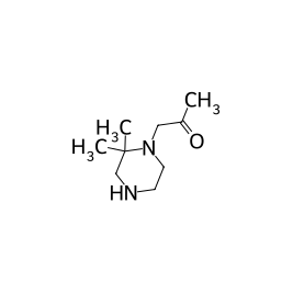 CC(=O)CN1CCNCC1(C)C